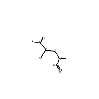 CC(C)C(C)CN(C)[C]=O